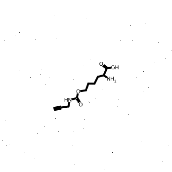 C#CCNC(=O)OCCCCC(N)C(=O)O